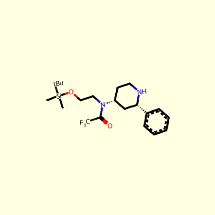 CC(C)(C)[Si](C)(C)OCCN(C(=O)C(F)(F)F)[C@@H]1CCN[C@H](c2ccccc2)C1